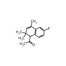 CC(=O)N1c2ccc(F)cc2C(C)=CC1(C)C